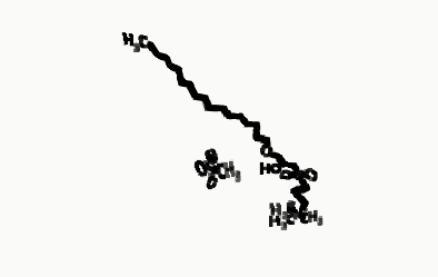 CCCCCCCCCCCCCCCCCCOCC(O)CS(=O)(=O)CCC[N+](C)(C)C.CS(=O)(=O)[O-]